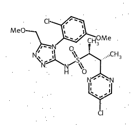 COCc1nnc(NS(=O)(=O)[C@@H](C)[C@H](C)c2ncc(Cl)cn2)n1-c1cc(OC)ccc1Cl